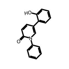 O=c1ccc(-c2ccccc2O)cn1-c1ccccc1